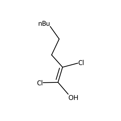 CCCCCCC(Cl)=C(O)Cl